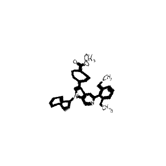 CCc1cccc(CC)c1-c1cc2c(C3CCC(C(=O)OC)CC3)cn(C3CCc4ccccc43)c2cn1